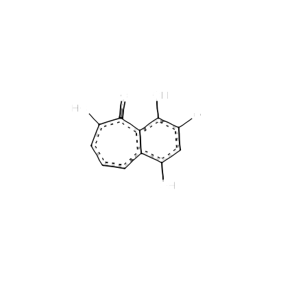 O=c1c(O)cccc2c(O)cc(O)c(O)c12